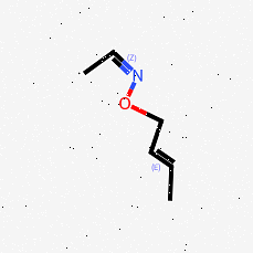 [CH2]/C=N\OC/C=C/C